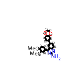 COc1ccc(-c2nc(N)nc3ccc(-c4ccc5c(c4)OCCO5)cc23)cc1OC